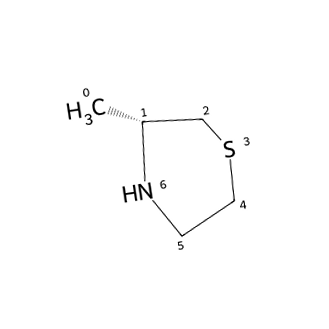 C[C@@H]1CSCCN1